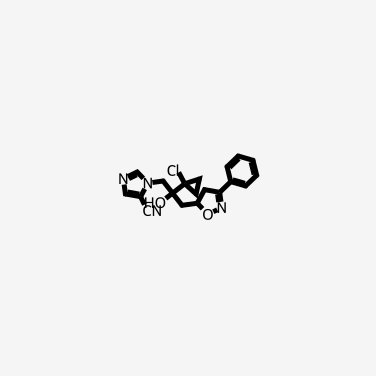 N#Cc1cncn1CC(O)(CC1CC(c2ccccc2)=NO1)C1(Cl)CC1